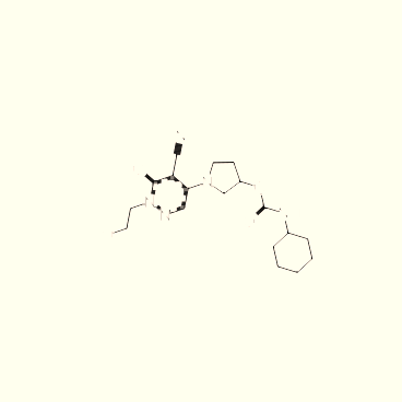 N#Cc1c(N2CCC(OC(=O)NC3CCCCC3)C2)cnn(CCO)c1=O